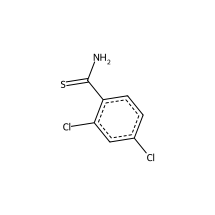 NC(=S)c1ccc(Cl)cc1Cl